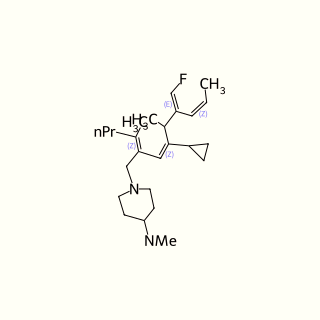 C/C=C\C(=C/F)C(C)/C(=C\C(CN1CCC(NC)CC1)=C(/C)CCC)C1CC1